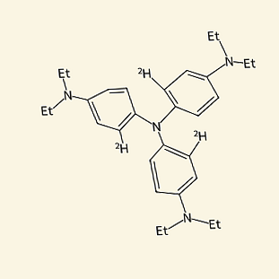 [2H]c1cc(N(CC)CC)ccc1N(c1ccc(N(CC)CC)cc1[2H])c1ccc(N(CC)CC)cc1[2H]